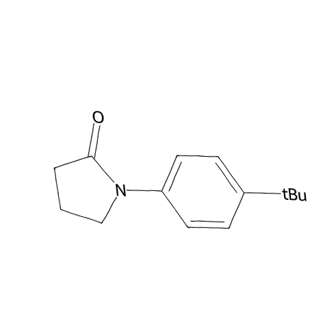 CC(C)(C)c1ccc(N2CCCC2=O)cc1